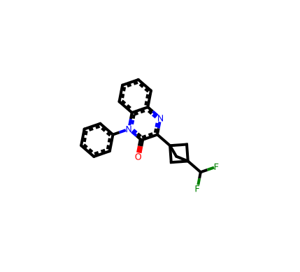 O=c1c(C23CC(C(F)F)(C2)C3)nc2ccccc2n1-c1ccccc1